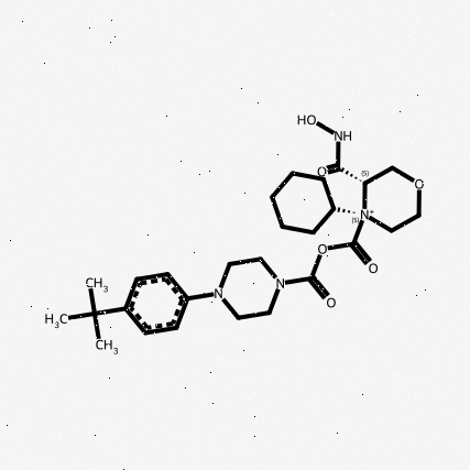 CC(C)(C)c1ccc(N2CCN(C(=O)OC(=O)[N@+]3(C4CCCCC4)CCOC[C@H]3C(=O)NO)CC2)cc1